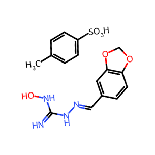 Cc1ccc(S(=O)(=O)O)cc1.N=C(NO)NN=Cc1ccc2c(c1)OCO2